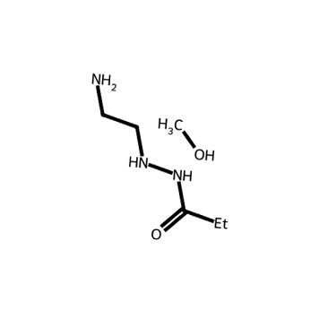 CCC(=O)NNCCN.CO